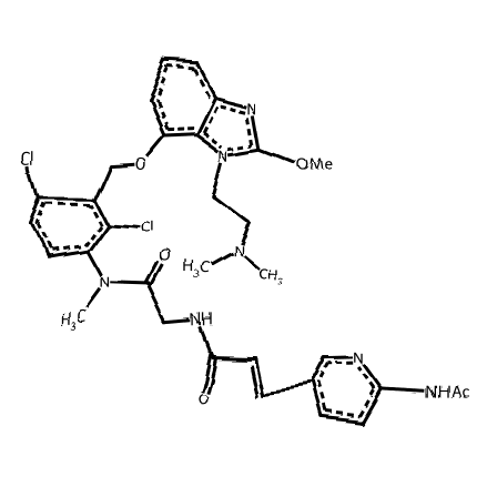 COc1nc2cccc(OCc3c(Cl)ccc(N(C)C(=O)CNC(=O)C=Cc4ccc(NC(C)=O)nc4)c3Cl)c2n1CCN(C)C